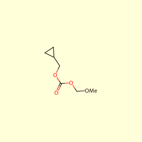 COCOC(=O)OCC1CC1